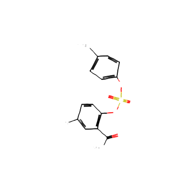 COC(=O)c1cc([N+](=O)[O-])ccc1OS(=O)(=O)Oc1ccc(NC(C)=O)cc1